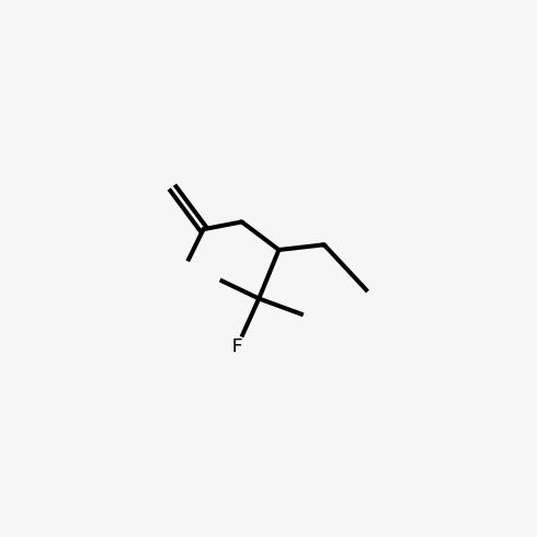 C=C(C)CC(CC)C(C)(C)F